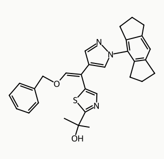 CC(C)(O)c1ncc(C(=COCc2ccccc2)c2cnn(-c3c4c(cc5c3CCC5)CCC4)c2)s1